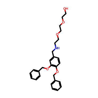 OCCOCCOCCNCc1ccc(OCc2ccccc2)c(OCc2ccccc2)c1